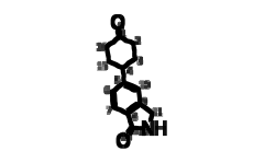 O=C1CCC(c2ccc3c(c2)CNC3=O)CC1